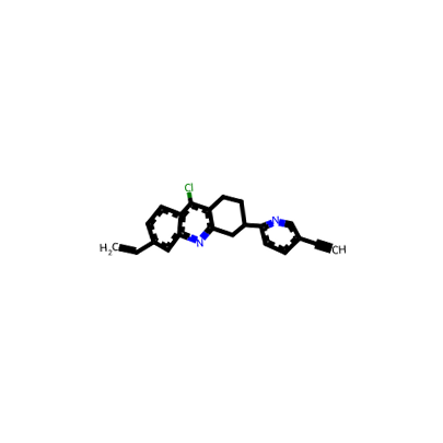 C#Cc1ccc(C2CCc3c(nc4cc(C=C)ccc4c3Cl)C2)nc1